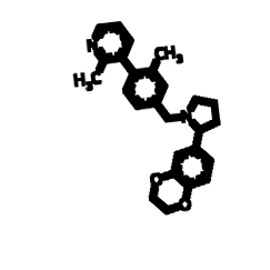 Cc1cc(CN2CCCC2c2ccc3c(c2)OCCO3)ccc1-c1cccnc1C